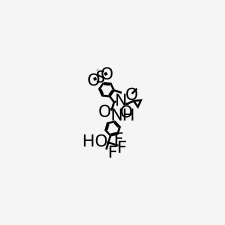 COC1(C(=O)N2Cc3cc(S(C)(=O)=O)ccc3C2C(=O)Nc2ccc(C(C)(O)C(F)(F)F)cc2)CC1